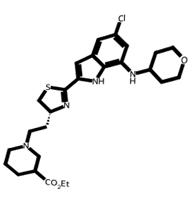 CCOC(=O)C1CCCN(CC[C@@H]2CSC(c3cc4cc(Cl)cc(NC5CCOCC5)c4[nH]3)=N2)C1